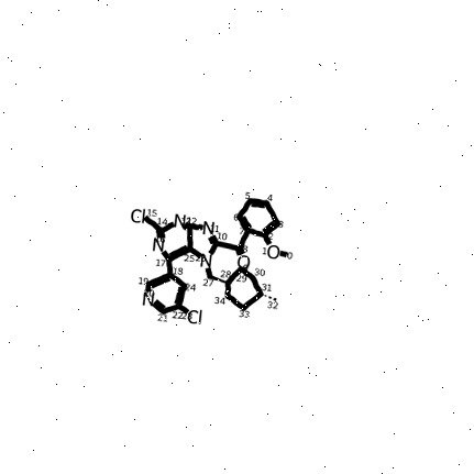 COc1ccccc1C(=O)c1nc2nc(Cl)nc(-c3cncc(Cl)c3)c2n1C[C@H]1CC[C@H](C)CC1